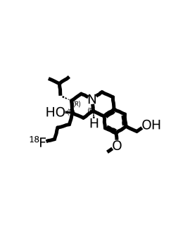 COc1cc2c(cc1CO)CCN1C[C@@H](CC(C)C)[C@@](O)(CCC[18F])C[C@H]21